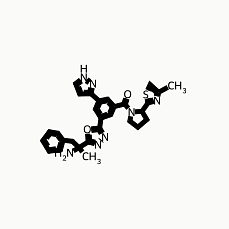 Cc1csc(C2CCCN2C(=O)c2cc(-c3cc[nH]n3)cc(-c3nnc(C(C)(N)Cc4ccccc4)o3)c2)n1